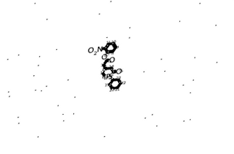 CC(C)C[C@@H](CC(=O)Oc1ccccc1[N+](=O)[O-])CC(=O)SC1CCCCC1